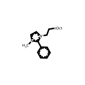 CCCCCCCCCC[n+]1ccn(C)c1-c1ccccc1